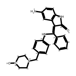 Nc1ccc2c(c1)C(=C(Nc1ccc(CN3CC[S+]([O-])CC3)cc1)c1ccccc1)C(=O)N2